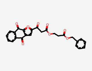 O=C(CCOC(=O)CC(=O)c1cc2c(o1)C(=O)c1ccccc1C2=O)OCc1ccccc1